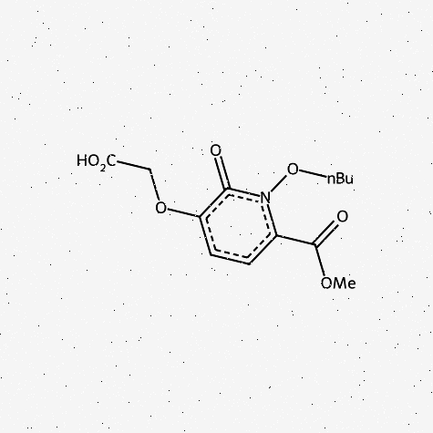 CCCCOn1c(C(=O)OC)ccc(OCC(=O)O)c1=O